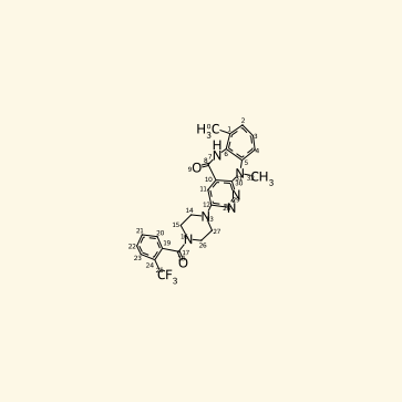 Cc1cccc2c1NC(=O)c1cc(N3CCN(C(=O)c4ccccc4C(F)(F)F)CC3)nnc1N2C